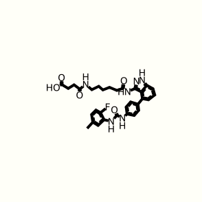 Cc1ccc(F)c(NC(=O)Nc2ccc(-c3cccc4[nH]nc(NC(=O)CCCCCNC(=O)CCC(=O)O)c34)cc2)c1